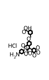 COC(=O)c1c(-c2cc(OC)c(OC)c(OC)c2)c2ccc(OCc3cccc(C(=O)O)c3)cc2c(=O)n1-c1ccc(N)cc1.Cl